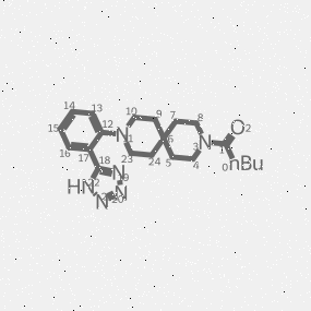 CCCCC(=O)N1CCC2(CC1)CCN(c1ccccc1-c1nnn[nH]1)CC2